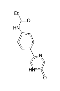 CCC(=O)Nc1ccc(-c2c[nH]c(=O)cn2)cc1